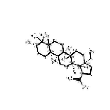 [CH2]C(=C)[C@@H]1CC[C@]2(CO)CC[C@]3(C)[C@H](CCC4[C@@]5(C)CC[C@H](O)C(C)(C)[C@@H]5CC[C@]43C)[C@@H]12